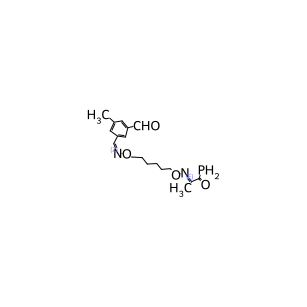 C/C(=N\OCCCCCCO/N=C\c1cc(C)cc(C=O)c1)C(=O)P